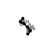 Cc1cc(/C=C/c2ccc(NC(=O)[C@@H]3CCCN3C(=O)Cc3ccccc3)c(C)c2)ccc1NC(=O)[C@@H]1CCCN1C(=O)Cc1ccccc1